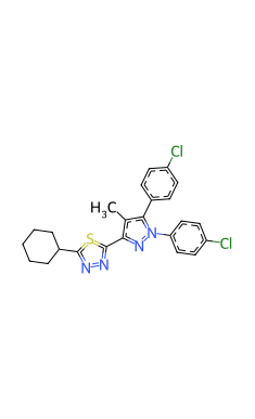 Cc1c(-c2nnc(C3CCCCC3)s2)nn(-c2ccc(Cl)cc2)c1-c1ccc(Cl)cc1